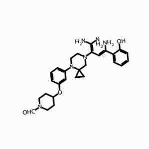 NC(N)=C(/C=C(\N)c1ccccc1O)N1CCN(c2cccc(OC3CCN(C=O)CC3)c2)C2(CC2)C1